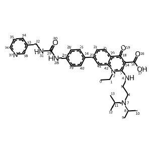 CCn1c(NCCN(C(C)C)C(C)C)c(C(=O)O)c(=O)c2ccc(-c3ccc(NC(=O)NCc4cccnc4)cc3)cc21